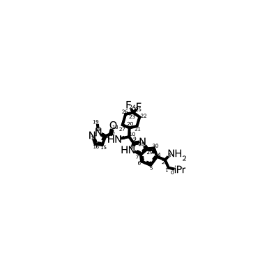 CC(C)CC(N)c1ccc2[nH]c(C(NC(=O)c3ccnn3C)C3CCC(F)(F)CC3)nc2c1